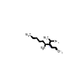 C=C/C=C(\C(C)C)C(N)CCCCC